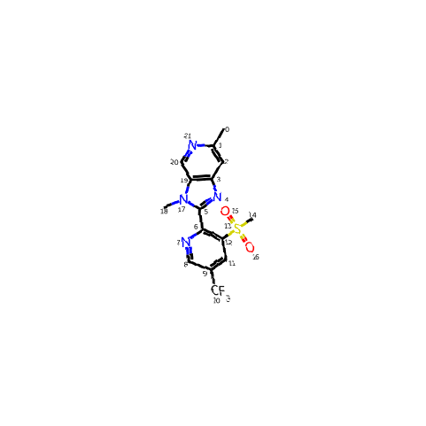 Cc1cc2nc(-c3ncc(C(F)(F)F)cc3S(C)(=O)=O)n(C)c2cn1